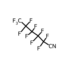 N#CC(F)(F)C(F)(F)C(F)(F)C(F)(F)C(F)(F)F